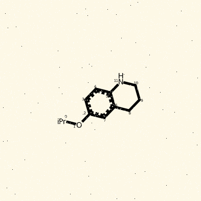 CC(C)Oc1ccc2c(c1)CCCN2